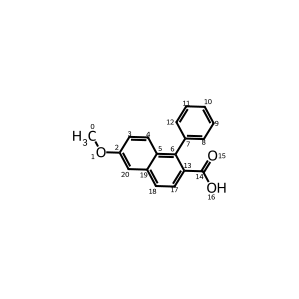 COc1ccc2c(-c3ccccc3)c(C(=O)O)ccc2c1